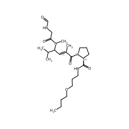 CCCCOCCCNC(=O)[C@@H]1CCCN1C(=O)/C(C)=C/C(C(C)C)N(C)C(=O)CNC=O